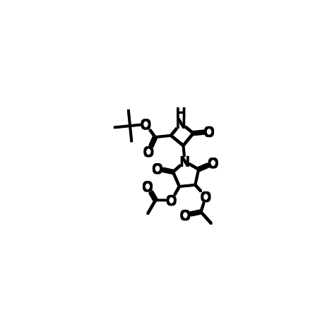 CC(=O)OC1C(=O)N(C2C(=O)NC2C(=O)OC(C)(C)C)C(=O)C1OC(C)=O